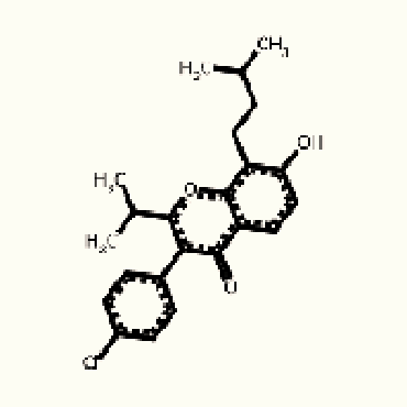 CC(C)CCc1c(O)ccc2c(=O)c(-c3ccc(Cl)cc3)c(C(C)C)oc12